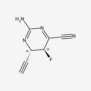 C#C[C@@H]1N=C(N)N=C(C#N)[C@H]1F